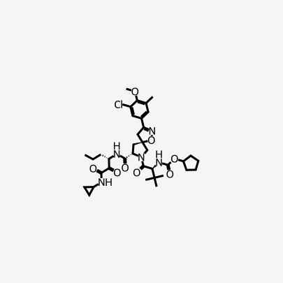 CCC[C@H](NC(=O)[C@@H]1C[C@]2(CC(c3cc(C)c(OC)c(Cl)c3)=NO2)CN1C(=O)[C@@H](NC(=O)OC1CCCC1)C(C)(C)C)C(=O)C(=O)NC1CC1